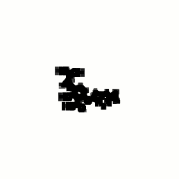 NC1(CN2CC(Oc3ccc(C4CC4B(O)O)c(O)c3C(=O)O)C2)CC1